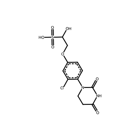 O=C1CCN(c2ccc(OCC(O)S(=O)(=O)O)cc2Cl)C(=O)N1